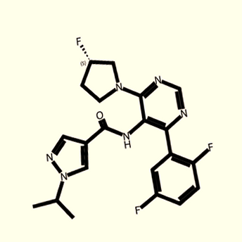 CC(C)n1cc(C(=O)Nc2c(-c3cc(F)ccc3F)ncnc2N2CC[C@H](F)C2)cn1